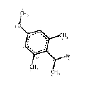 COc1cc(C)c(C(C)Br)c(C)c1